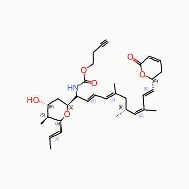 C#CCCOC(=O)NC(/C=C/C=C(\C)C[C@@H](C)/C=C(C)\C=C\[C@H]1CC=CC(=O)O1)[C@@H]1C[C@@H](O)[C@H](C)[C@H](/C=C/C)O1